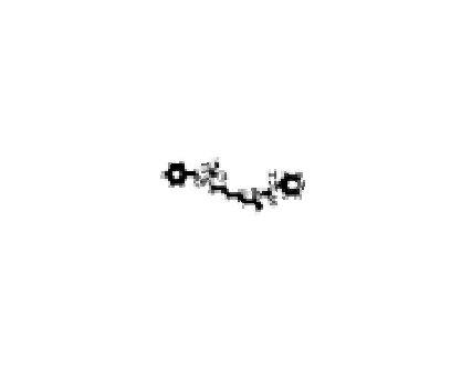 CC(CCCCCN(OCc1ccccc1)S(C)(=O)=O)NC(=S)Nc1ccncc1